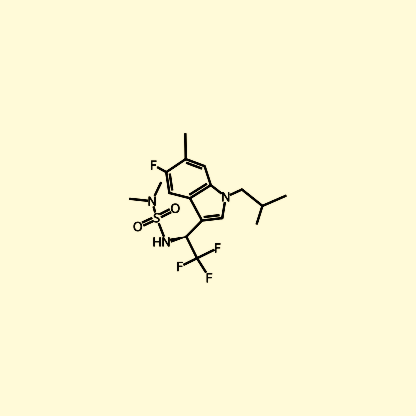 Cc1cc2c(cc1F)c([C@H](NS(=O)(=O)N(C)C)C(F)(F)F)cn2CC(C)C